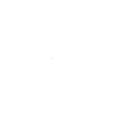 CC1C=CC(CCl)=CN1